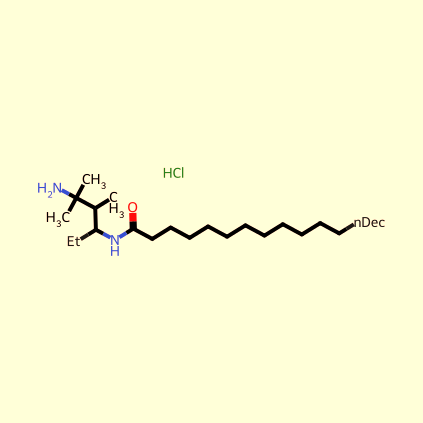 CCCCCCCCCCCCCCCCCCCCCC(=O)NC(CC)C(C)C(C)(C)N.Cl